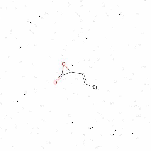 CCC=CC1OC1=O